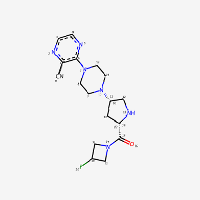 N#Cc1nccnc1N1CCN([C@@H]2CN[C@H](C(=O)N3CC(F)C3)C2)CC1